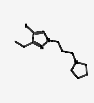 CCc1nn(CCCN2CCCC2)cc1I